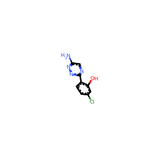 Nc1cnc(-c2ccc(Cl)cc2O)nn1